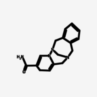 NC(=O)C1=CN2C(=CC1)CN1Cc3ccccc3CN2C1